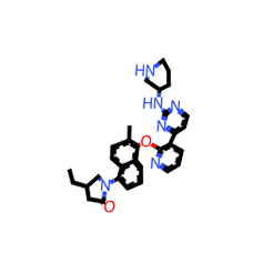 CCC1CC(=O)N(c2cccc3c(Oc4ncccc4-c4ccnc(NC5CCCNC5)n4)c(C)ccc23)C1